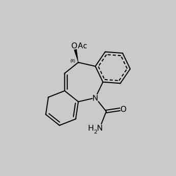 CC(=O)O[C@@H]1C=C2CC=CC=C2N(C(N)=O)c2ccccc21